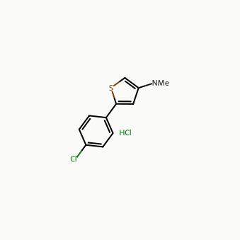 CNc1csc(-c2ccc(Cl)cc2)c1.Cl